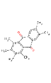 Cc1cc2c(cc1C)C(=O)c1c(C)c(C)c(C)c(C)c1C2=O